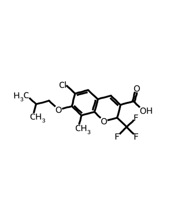 Cc1c(OCC(C)C)c(Cl)cc2c1OC(C(F)(F)F)C(C(=O)O)=C2